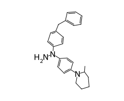 CC1CCCCN1c1ccc(N(N)c2ccc(Cc3ccccc3)cc2)cc1